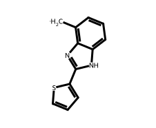 [CH2]c1cccc2[nH]c(-c3cccs3)nc12